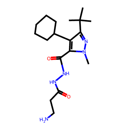 Cn1nc(C(C)(C)C)c(C2CCCCC2)c1C(=O)NNC(=O)CCN